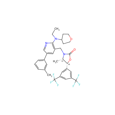 CCN(c1ncc(-c2cccc(C)c2)cc1CN1C(=O)O[C@H](c2cc(C(F)(F)F)cc(C(F)(F)F)c2)[C@@H]1C)C1CCOCC1